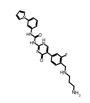 NCCCNCc1ccc(-c2c[nH]c(NC(=O)Nc3cccc(-n4cccc4)c3)nc2=O)cc1F